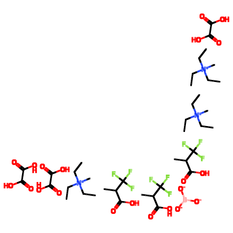 CC(C(=O)O)C(F)(F)F.CC(C(=O)O)C(F)(F)F.CC(C(=O)O)C(F)(F)F.CC[N+](C)(CC)CC.CC[N+](C)(CC)CC.CC[N+](C)(CC)CC.O=C(O)C(=O)O.O=C(O)C(=O)O.O=C(O)C(=O)O.[O-]B([O-])[O-]